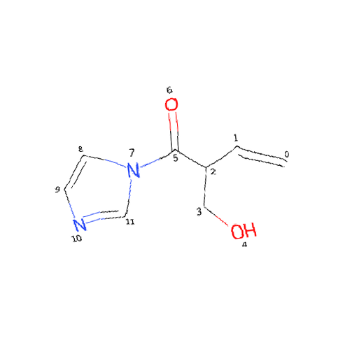 C=CC(CO)C(=O)n1ccnc1